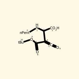 CCCCCNC(C(=O)O)C(=C=O)C(=O)OC(C)(C)C